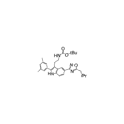 Cc1cc(C)cc(-c2[nH]c3ccc(-c4noc(CC(C)C)n4)cc3c2CCNC(=O)OC(C)(C)C)c1